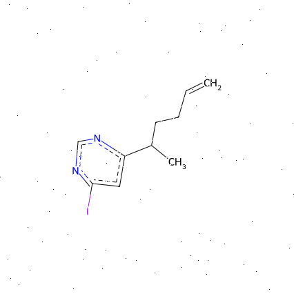 C=CCCC(C)c1cc(I)ncn1